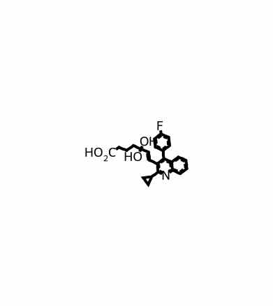 O=C(O)CCCC(O)(O)C=Cc1c(C2CC2)nc2ccccc2c1-c1ccc(F)cc1